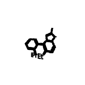 CCc1ccc2c(c1-c1ccccc1C(C)C)C=C(C)[CH]2